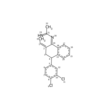 C/C=C1/CC(c2ccc(Cl)c(Cl)c2)c2ccccc2/C1=N/C(C)=N